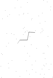 OC[C@H](S)CS